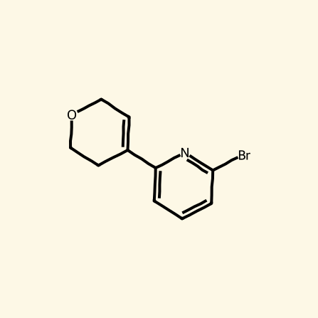 Brc1cccc(C2=CCOCC2)n1